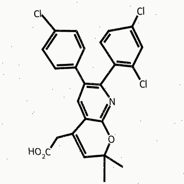 CC1(C)C=C(CC(=O)O)c2cc(-c3ccc(Cl)cc3)c(-c3ccc(Cl)cc3Cl)nc2O1